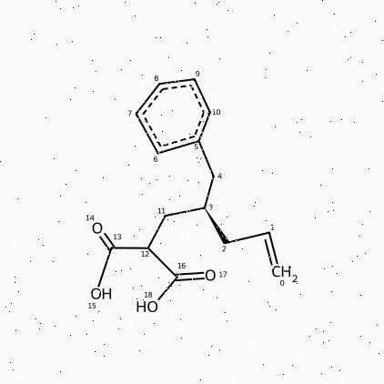 C=CC[C@H](Cc1ccccc1)CC(C(=O)O)C(=O)O